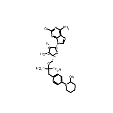 Nc1nc(Cl)nc2c1ncn2[C@@H]1O[C@H](COC(Cc2ccc(N3CCCCC3O)cc2)(C(=O)O)C(=O)O)[C@@H](O)[C@@H]1F